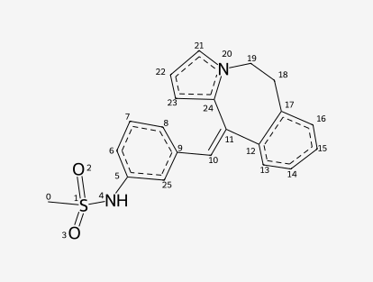 CS(=O)(=O)Nc1cccc(C=C2c3ccccc3CCn3cccc32)c1